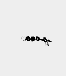 CCC[SiH]1CCC(CC[C@H]2CC[C@H](c3ccc(-c4ccc(Cl)cc4)c(F)c3)CC2)CC1